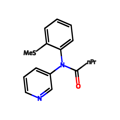 CCCC(=O)N(c1cccnc1)c1ccccc1SC